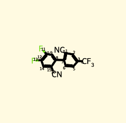 N#Cc1cc(C(F)(F)F)ccc1-c1cc(F)c(F)cc1C#N